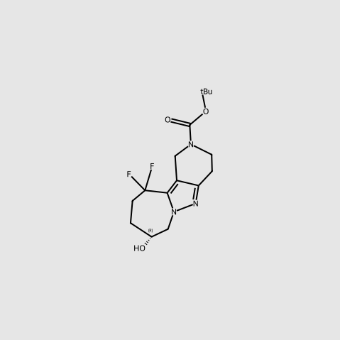 CC(C)(C)OC(=O)N1CCc2nn3c(c2C1)C(F)(F)CC[C@@H](O)C3